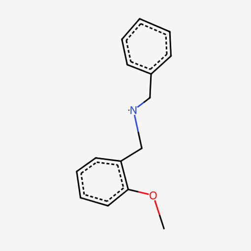 COc1ccccc1C[N]Cc1ccccc1